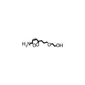 NC(=O)/C=C\C(=O)CCCOCCO